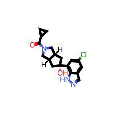 O=C(C1CC1)N1C[C@@H]2C[C@@](O)(c3cc(Cl)cc4cn[nH]c34)C[C@@H]2C1